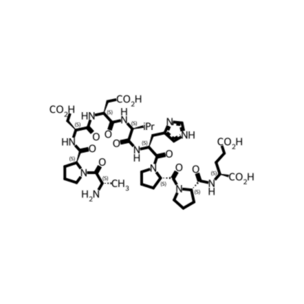 CC(C)[C@H](NC(=O)[C@H](CC(=O)O)NC(=O)[C@H](CC(=O)O)NC(=O)[C@@H]1CCCN1C(=O)[C@H](C)N)C(=O)N[C@@H](Cc1c[nH]cn1)C(=O)N1CCC[C@H]1C(=O)N1CCC[C@H]1C(=O)N[C@@H](CCC(=O)O)C(=O)O